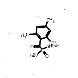 CCCCCCP(=O)(CCCC)C(=O)c1c(C)cc(C)cc1C